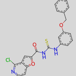 O=C(NC(=S)Nc1cccc(OCc2ccccc2)c1)c1cc2c(Cl)nccc2o1